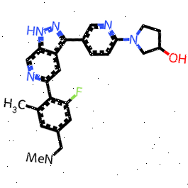 CNCc1cc(C)c(-c2cc3c(-c4ccc(N5CCC(O)C5)nc4)n[nH]c3cn2)c(F)c1